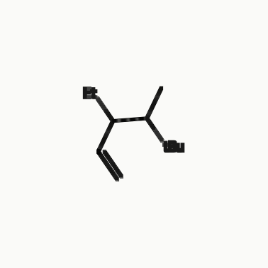 C=CC(CC)C(C)C(C)(C)C